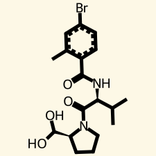 Cc1cc(Br)ccc1C(=O)N[C@H](C(=O)N1CCC[C@H]1C(O)O)C(C)C